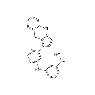 CC(O)c1cccc(Nc2cc(-n3ccnc3Nc3ccccc3Cl)ncn2)c1